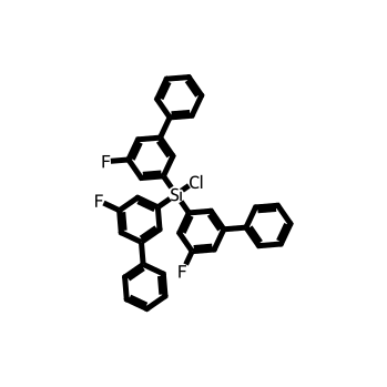 Fc1cc(-c2ccccc2)cc([Si](Cl)(c2cc(F)cc(-c3ccccc3)c2)c2cc(F)cc(-c3ccccc3)c2)c1